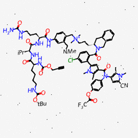 C#CCOC(=O)N[C@@H](CCCCNC(=O)OC(C)(C)C)C(=O)N[C@H](C(=O)N[C@@H](CCCNC(N)=O)C(=O)Nc1ccc(C[N+](C)(C)CCC[C@@H]2Cc3ccccc3CN2C(=O)c2ccc(Cl)cc2-c2cc(C(=O)N(c3ccc(OC(=O)C(F)(F)F)cc3)c3cc(C#N)n(C)c3C)c(C)n2C)c(CNC)c1)C(C)C